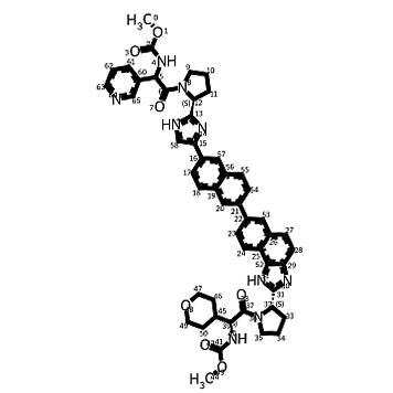 COC(=O)NC(C(=O)N1CCC[C@H]1c1nc(-c2ccc3cc(-c4ccc5c(ccc6nc([C@@H]7CCCN7C(=O)[C@@H](NC(=O)OC)C7CCOCC7)[nH]c65)c4)ccc3c2)c[nH]1)c1cccnc1